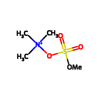 COS(=O)(=O)O[N+](C)(C)C